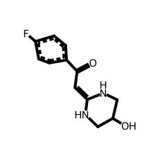 O=C(C=C1NCC(O)CN1)c1ccc(F)cc1